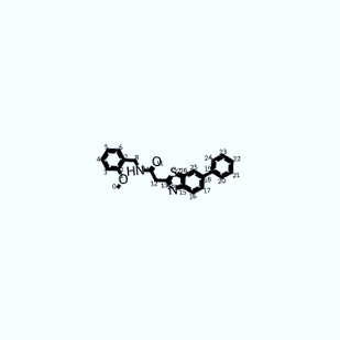 COc1ccccc1CNC(=O)Cc1nc2ccc(-c3ccccc3)cc2s1